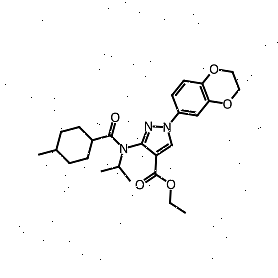 CCOC(=O)c1cn(-c2ccc3c(c2)OCCO3)nc1N(C(=O)C1CCC(C)CC1)C(C)C